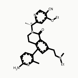 CCOc1cc([C@@H](C)N2CCc3c(cc(CCN(C)CC)cc3-c3ccc(N)nc3C)C2=O)ncc1C#N